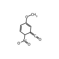 COC1=CC(=C=O)C([N+](=O)[O-])C=C1